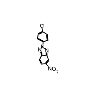 O=[N+]([O-])c1ccc2nn(-c3ccc(Cl)cc3)nc2c1